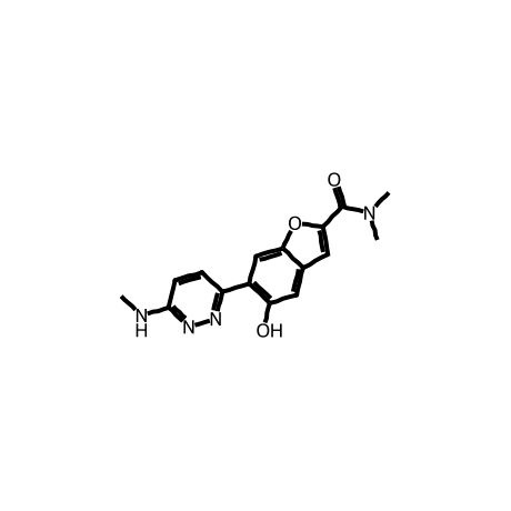 CNc1ccc(-c2cc3oc(C(=O)N(C)C)cc3cc2O)nn1